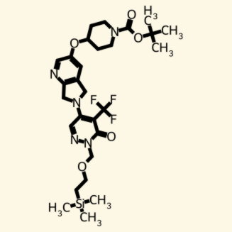 CC(C)(C)OC(=O)N1CCC(Oc2cnc3c(c2)CN(c2cnn(COCC[Si](C)(C)C)c(=O)c2C(F)(F)F)C3)CC1